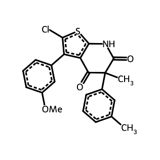 COc1cccc(-c2c(Cl)sc3c2C(=O)C(C)(c2cccc(C)c2)C(=O)N3)c1